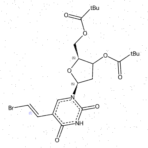 CC(C)(C)C(=O)OC[C@@H]1O[C@H](n2cc(/C=C/Br)c(=O)[nH]c2=O)CC1OC(=O)C(C)(C)C